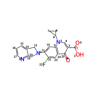 O=C(O)c1cn(C2CC2)c2cc(N3Cc4cccnc4C3)c(F)cc2c1=O